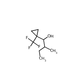 CCC(C)C(O)C1(C(F)(F)F)CC1